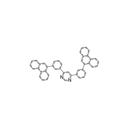 c1cc(-c2cc(-c3cccc(-c4cc5ccccc5c5ccccc45)c3)ncn2)cc(-c2cc3ccccc3c3ccccc23)c1